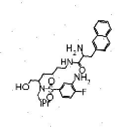 CC(C)CN(C(CO)CCCCNC(=O)C(N)Cc1ccc2ccccc2c1)S(=O)(=O)c1ccc(F)c(N)c1